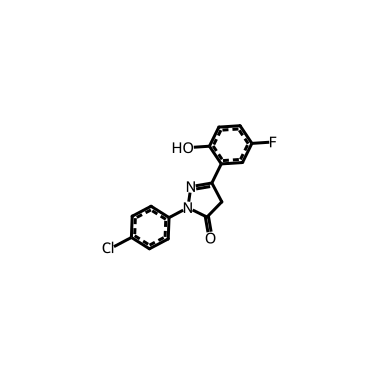 O=C1CC(c2cc(F)ccc2O)=NN1c1ccc(Cl)cc1